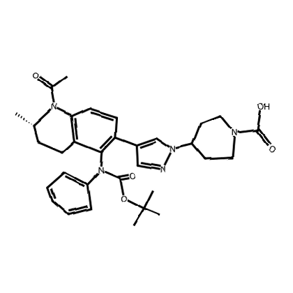 CC(=O)N1c2ccc(-c3cnn(C4CCN(C(=O)O)CC4)c3)c(N(C(=O)OC(C)(C)C)c3ccccc3)c2CC[C@@H]1C